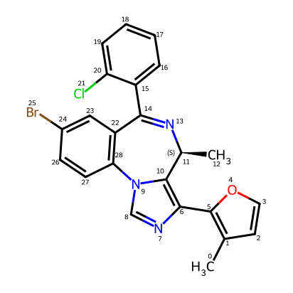 Cc1ccoc1-c1ncn2c1[C@H](C)N=C(c1ccccc1Cl)c1cc(Br)ccc1-2